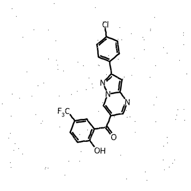 O=C(c1cnc2cc(-c3ccc(Cl)cc3)nn2c1)c1cc(C(F)(F)F)ccc1O